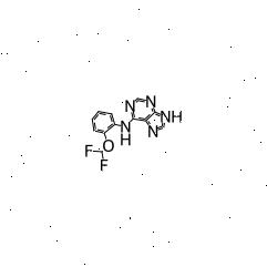 FC(F)Oc1ccccc1Nc1ncnc2[nH]cnc12